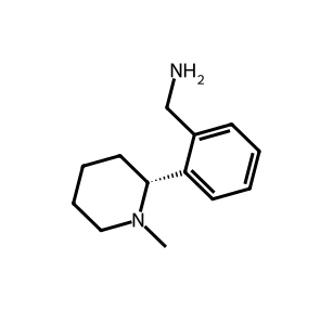 CN1CCCC[C@@H]1c1ccccc1CN